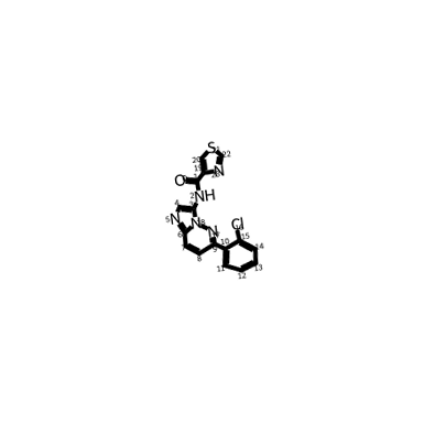 O=C(Nc1cnc2ccc(-c3ccccc3Cl)nn12)c1cscn1